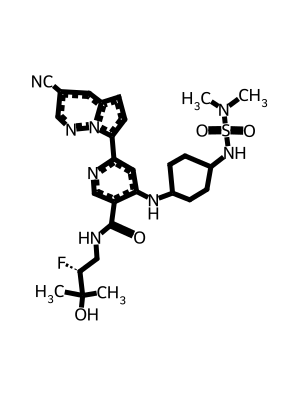 CN(C)S(=O)(=O)NC1CCC(Nc2cc(-c3ccc4cc(C#N)cnn34)ncc2C(=O)NC[C@@H](F)C(C)(C)O)CC1